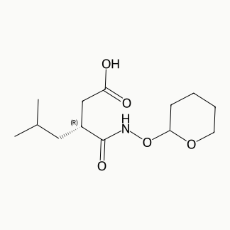 CC(C)C[C@H](CC(=O)O)C(=O)NOC1CCCCO1